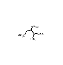 CCCCCC(CC(=O)OCC)N(CCCC)C(=O)OCC